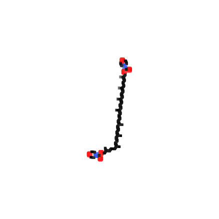 CC(/C=C/C=C(C)/C=C/C=C(\C)CC/C=C(\C)COC(=O)N1CCOCC1)=C\C=C\C=C(C)\C=C\C=C(C)\C=C\C=C(/C)CC/C=C(\C)COC(=O)N1CCOCC1